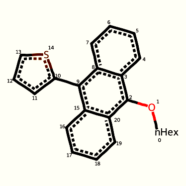 CCCCCCOc1c2ccccc2c(-c2cccs2)c2ccccc12